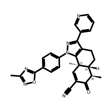 Cc1noc(-c2ccc(-n3nc(-c4cccnc4)c4c3[C@]3(C)C=C(C#N)C(=O)[C@H](C)[C@H]3CC4)cc2)n1